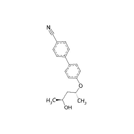 C[C@H](O)C[C@@H](C)Oc1ccc(-c2ccc(C#N)cc2)cc1